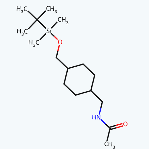 CC(=O)NCC1CCC(CO[Si](C)(C)C(C)(C)C)CC1